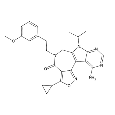 COc1cccc(CCN2Cc3c(c4c(N)ncnc4n3C(C)C)-c3noc(C4CC4)c3C2=O)c1